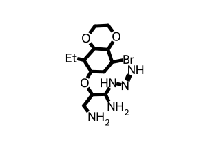 CCC1C(OC(CN)C(N)NN=N)CC(Br)C2OCCOC12